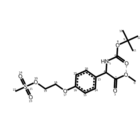 COC(=O)C(NC(=O)OC(C)(C)C)c1ccc(OCCOS(C)(=O)=O)cc1